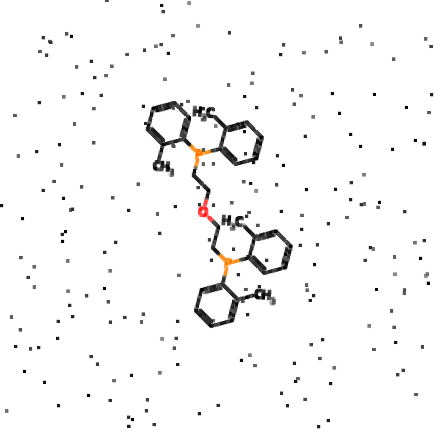 Cc1ccccc1P(CCOCCP(c1ccccc1C)c1ccccc1C)c1ccccc1C